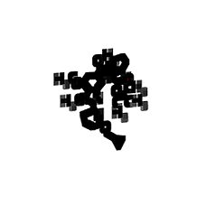 COc1cc(C(=O)N2C[C@H]3CC[C@@H]2[C@@H]3NC(=O)OC(C)(C)C)cc2nc(-c3cccc(OCC4CC4)n3)n(C)c12